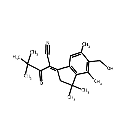 Cc1cc2c(c(C)c1CO)C(C)(C)C/C2=C(/C#N)C(=O)C(C)(C)C